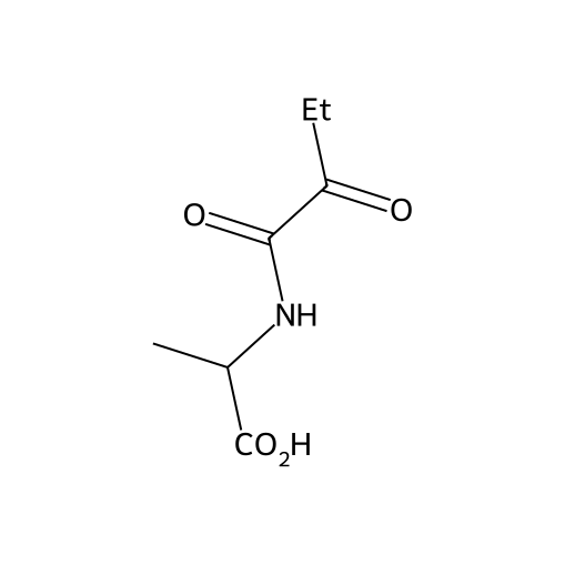 CCC(=O)C(=O)NC(C)C(=O)O